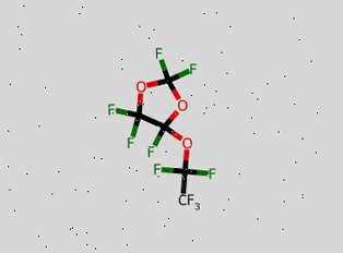 FC1(F)OC(F)(F)C(F)(OC(F)(F)C(F)(F)F)O1